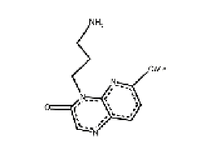 COc1ccc2ncc(=O)n(CCCN)c2n1